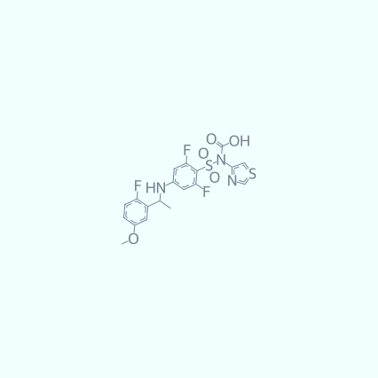 COc1ccc(F)c(C(C)Nc2cc(F)c(S(=O)(=O)N(C(=O)O)c3cscn3)c(F)c2)c1